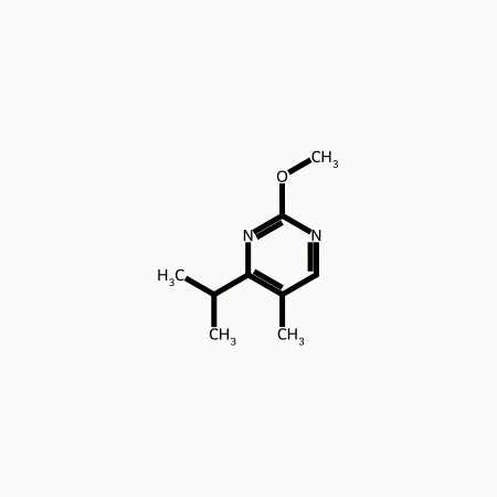 COc1ncc(C)c(C(C)C)n1